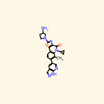 Cc1c(-c2cnc3[nH]ncc3c2)ccc2c3oc(N4CCC(N)C4)nc3c(=O)n(C3CC3)c12